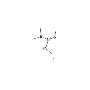 C=CBN(SI)B(C)C